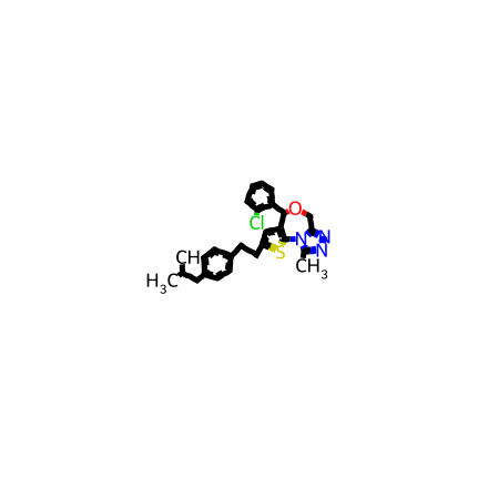 Cc1nnc2n1-c1sc(CCc3ccc(CC(C)C)cc3)cc1C(c1ccccc1Cl)OC2